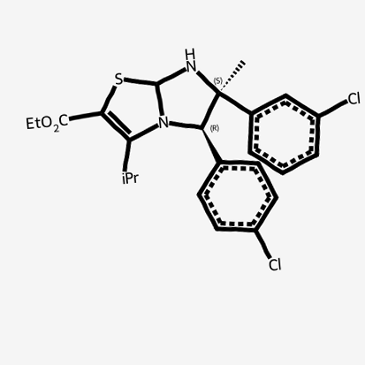 CCOC(=O)C1=C(C(C)C)N2C(N[C@@](C)(c3cccc(Cl)c3)[C@H]2c2ccc(Cl)cc2)S1